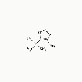 CC(C)(C)c1ccoc1C(C)(C)C(C)(C)C